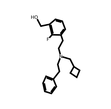 OCc1cccc(CCN(CCc2ccccc2)CC2CCC2)c1F